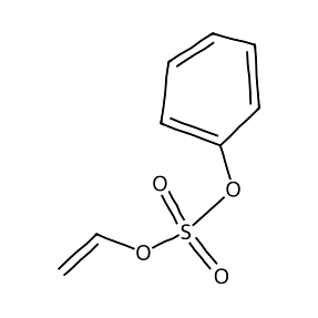 C=COS(=O)(=O)Oc1ccccc1